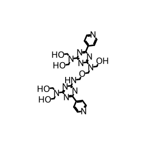 OCN(CO)c1nc(NCOCN(CO)c2nc(-c3ccncc3)nc(N(CO)CO)n2)nc(-c2ccncc2)n1